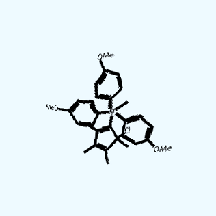 COc1ccc(P(C)(C2=C(C)C(C)=C(C)C2(C)Cl)(c2ccc(OC)cc2)c2ccc(OC)cc2)cc1